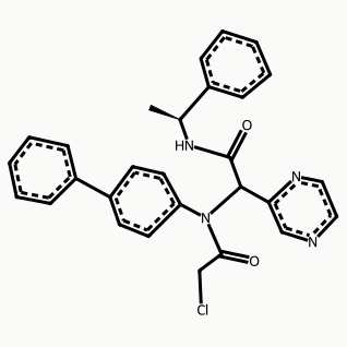 C[C@H](NC(=O)C(c1cnccn1)N(C(=O)CCl)c1ccc(-c2ccccc2)cc1)c1ccccc1